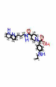 CCCNc1ccc(C(C(=O)O)N2CCC(C(=O)NCCCc3ccc4c(n3)NCCC4)CC2)cc1